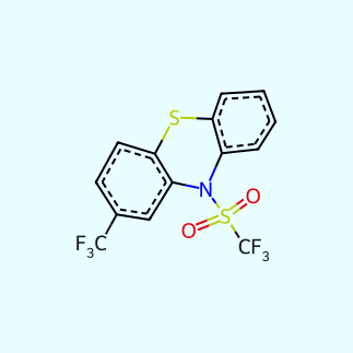 O=S(=O)(N1c2ccccc2Sc2ccc(C(F)(F)F)cc21)C(F)(F)F